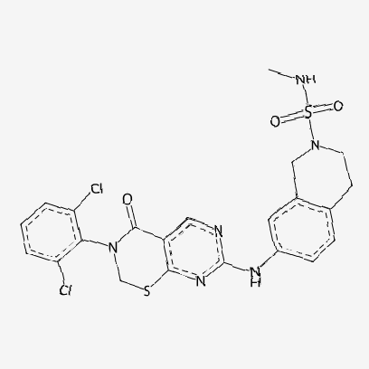 CNS(=O)(=O)N1CCc2ccc(Nc3ncc4c(n3)SCN(c3c(Cl)cccc3Cl)C4=O)cc2C1